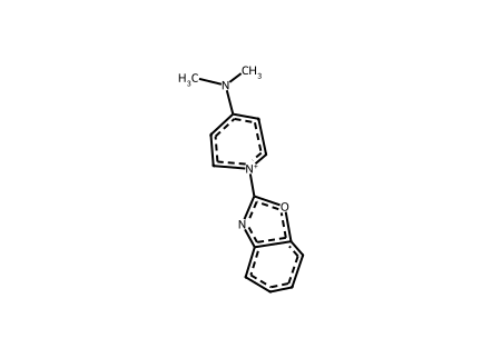 CN(C)c1cc[n+](-c2nc3ccccc3o2)cc1